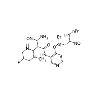 CCCNC(C[C@@H](CC)Oc1ccncc1NC(=O)C(C(N)N=O)C1NCC(F)CN1C)N=O